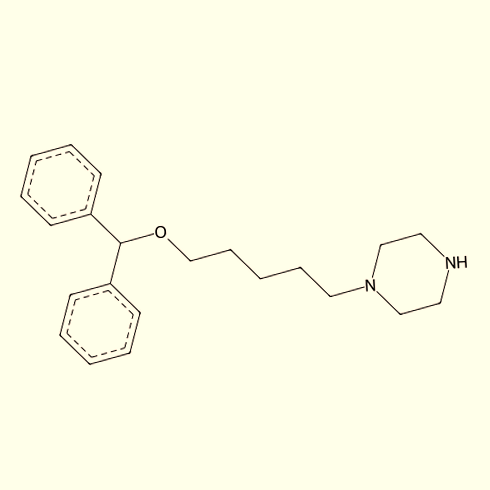 c1ccc(C(OCCCCCN2CCNCC2)c2ccccc2)cc1